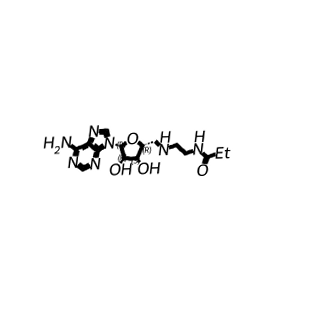 CCC(=O)NCCNC[C@H]1O[C@@H](n2cnc3c(N)ncnc32)[C@H](O)[C@@H]1O